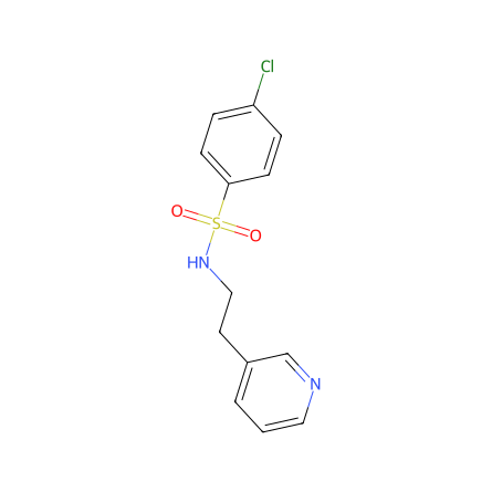 O=S(=O)(NCCc1cccnc1)c1ccc(Cl)cc1